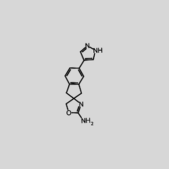 NC1=NC2(CO1)Cc1ccc(-c3cn[nH]c3)cc1C2